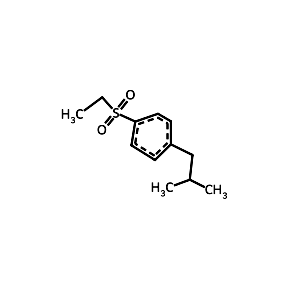 CCS(=O)(=O)c1ccc(CC(C)C)cc1